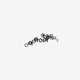 NC(=O)c1cc2nc(CN3CCC(c4cccc(OCc5ccc(Cl)cc5F)n4)CC3)n(C[C@@H]3CCO3)c2nn1